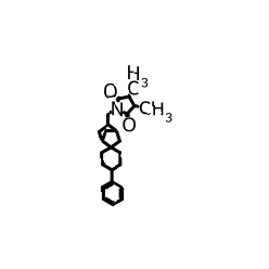 CC1C(=O)N(CC2CC3CC2CC32CCC(c3ccccc3)CC2)C(=O)C1C